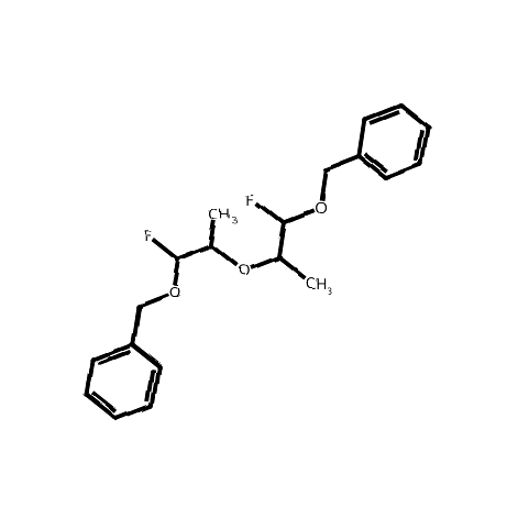 CC(OC(C)C(F)OCc1ccccc1)C(F)OCc1ccccc1